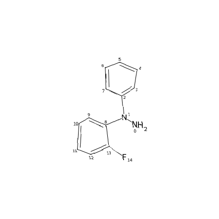 NN(c1ccccc1)c1ccccc1F